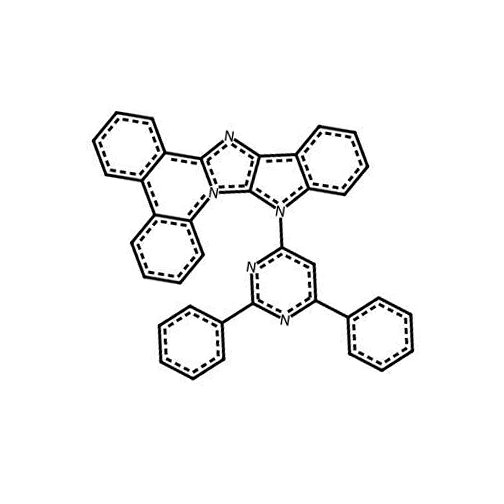 c1ccc(-c2cc(-n3c4ccccc4c4nc5c6ccccc6c6ccccc6n5c43)nc(-c3ccccc3)n2)cc1